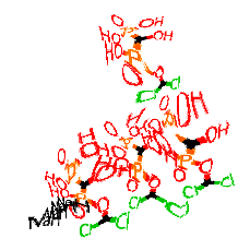 O=P(O)(O)C(O)P(=O)(O)OC(Cl)Cl.O=P(O)(O)C(O)P(=O)(O)OC(Cl)Cl.O=P(O)(O)C(O)P(=O)(O)OC(Cl)Cl.O=P(O)(O)C(O)P(=O)(O)OC(Cl)Cl.[NaH].[NaH].[NaH].[NaH]